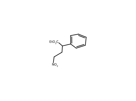 CCOC(=O)C(CC[N+](=O)[O-])c1ccccc1